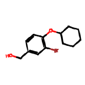 OCc1ccc(OC2CCCCC2)c(Br)c1